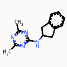 Cc1nc(C)nc(NC2Cc3ccccc3C2)n1